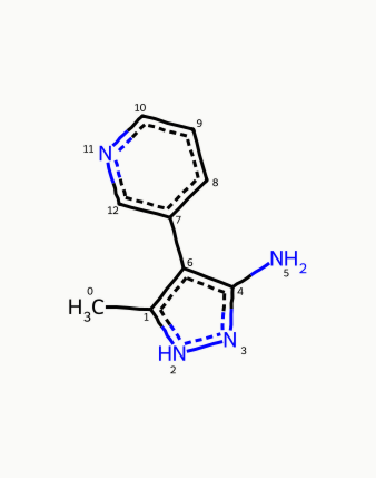 Cc1[nH]nc(N)c1-c1cccnc1